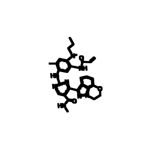 C=CC(=O)Nc1cc(Nc2ncc(C(=O)NC)c(-c3nn4c5c(cccc35)OCC4)n2)c(C)cc1N(C)CCC